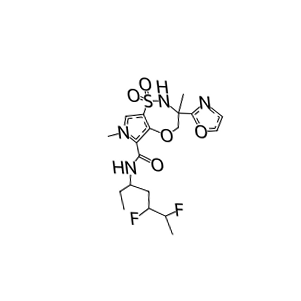 CCC(CC(F)C(C)F)NC(=O)c1c2c(cn1C)S(=O)(=O)NC(C)(c1ncco1)CO2